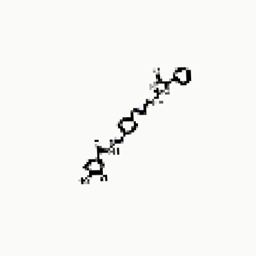 O=C(N/N=C/c1ccc(/C=C/CNC2=NC(=O)C(c3ccccc3)O2)cc1)c1ccc(O)c(Cl)c1